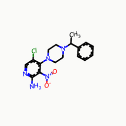 CC(c1ccccc1)N1CCN(c2c(Cl)cnc(N)c2[N+](=O)[O-])CC1